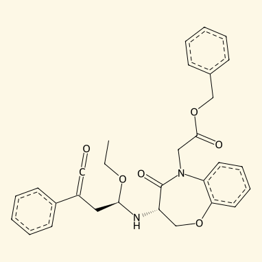 CCO[C@H](CC(=C=O)c1ccccc1)N[C@H]1COc2ccccc2N(CC(=O)OCc2ccccc2)C1=O